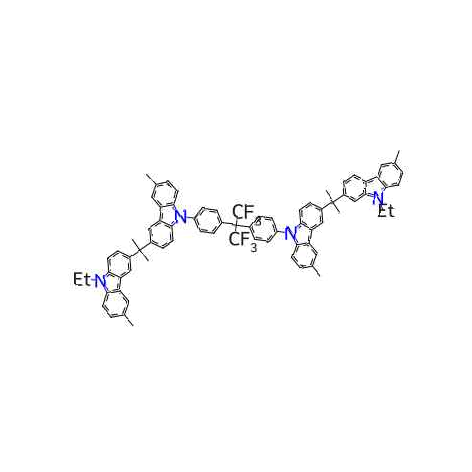 CCn1c2ccc(C)cc2c2cc(C(C)(C)c3ccc4c(c3)c3cc(C)ccc3n4-c3ccc(C(c4ccc(-n5c6ccc(C)cc6c6cc(C(C)(C)c7ccc8c9cc(C)ccc9n(CC)c8c7)ccc65)cc4)(C(F)(F)F)C(F)(F)F)cc3)ccc21